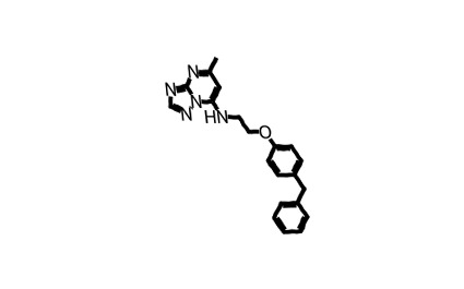 Cc1cc(NCCOc2ccc(Cc3ccccc3)cc2)n2ncnc2n1